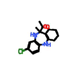 CC(=O)C1(C)Nc2cc(Cl)ccc2NC2=C1C(=O)CCC2